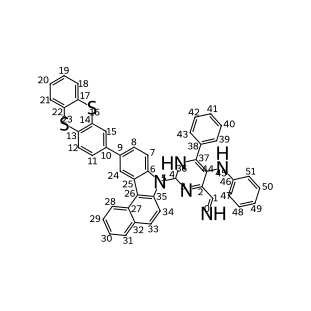 N=CC1=NC(n2c3ccc(-c4ccc5c(c4)Sc4ccccc4S5)cc3c3c4ccccc4ccc32)NC(c2ccccc2)=C1Nc1ccccc1